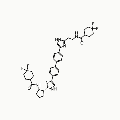 O=C(NCCc1nc(-c2ccc(-c3ccc(-c4c[nH]c([C@@H]5CCC[C@@H]5NC(=O)C5CCC(F)(F)CC5)n4)cc3)cc2)c[nH]1)C1CCC(F)(F)CC1